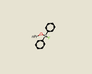 CCCO[Si](F)(c1ccccc1)c1ccccc1